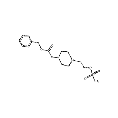 CS(=O)(=O)OCCN1CCN(OC(=O)OCc2ccccc2)CC1